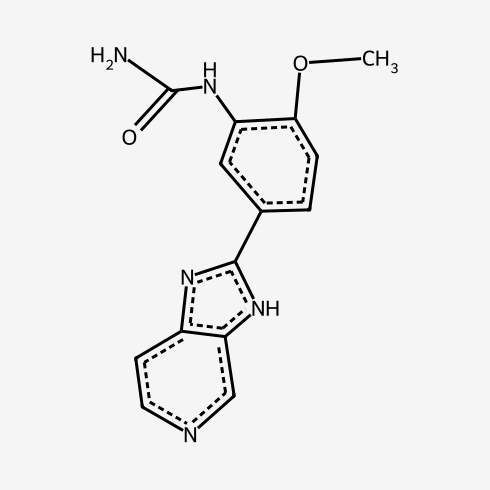 COc1ccc(-c2nc3ccncc3[nH]2)cc1NC(N)=O